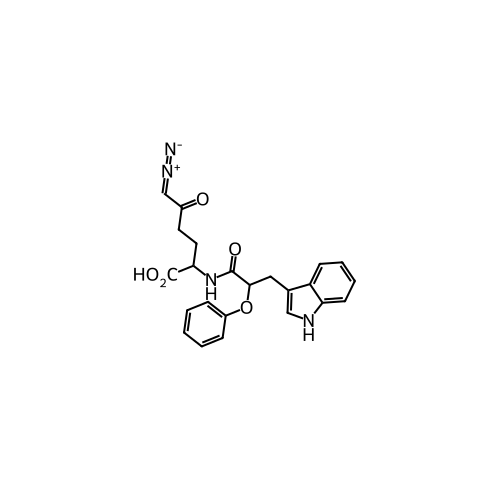 [N-]=[N+]=CC(=O)CCC(NC(=O)C(Cc1c[nH]c2ccccc12)Oc1ccccc1)C(=O)O